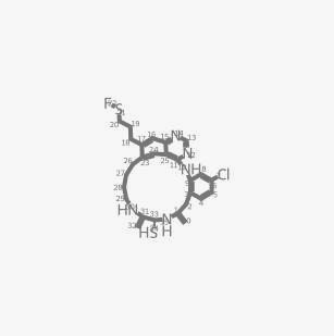 C=C1Cc2ccc(Cl)cc2Nc2ncnc3cc(CCCSF)c(cc23)CCCCNC(=C)[C@H](S)N1